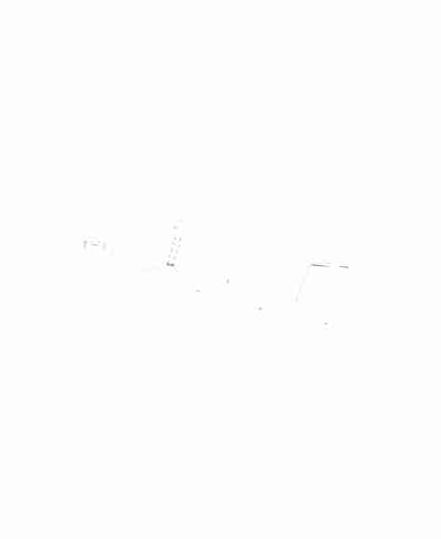 CC(C)(C)CC(=O)COCC1CCCC1